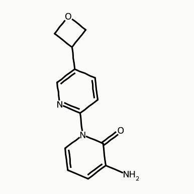 Nc1cccn(-c2ccc(C3COC3)cn2)c1=O